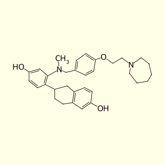 CN(Cc1ccc(OCCN2CCCCCC2)cc1)c1cc(O)ccc1C1CCc2cc(O)ccc2C1